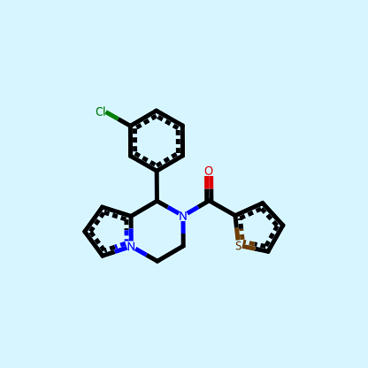 O=C(c1cccs1)N1CCn2cccc2C1c1cccc(Cl)c1